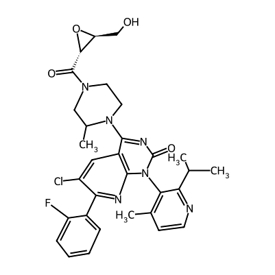 Cc1ccnc(C(C)C)c1-n1c(=O)nc(N2CCN(C(=O)[C@@H]3O[C@H]3CO)CC2C)c2cc(Cl)c(-c3ccccc3F)nc21